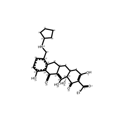 CCC(=O)C1=C(O)CC2CC3Cc4c(CNC5CCCC5)ccc(O)c4C(=O)C3=C(O)[C@]2(O)C1=O